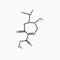 COC(=O)C1=NCN(C)C(C(F)F)CC1=O